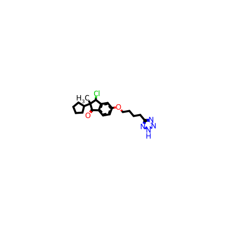 CC1(C2CCCC2)C(=O)c2ccc(OCCCCc3nn[nH]n3)cc2C1Cl